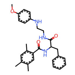 COc1ccc(NCCNC(=O)C(Cc2ccccc2)NC(=O)c2cc(C)c(C)cc2C)cc1